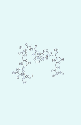 CC[C@H](C)[C@H](NC(=O)[C@H](CO)NC(=O)CNC(=O)[C@@H](NC(=O)[C@H](C)NC(=O)[C@H](C)NC(=O)[C@H](CO)NC(=O)[C@@H](NC(=O)[C@H](CO)NC(=O)[C@H](CO)NC(=O)CNC(=O)[C@@H](N)C(C)C)[C@@H](C)O)C(C)C)C(=O)N[C@@H](CC(C)C)C(=O)O